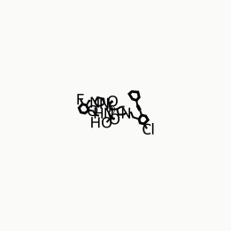 CCOc1cccc(F)c1CN1CCN(C(=O)[C@H](NC(=O)O)C2CCN(CCc3cc(Cl)ccc3C#Cc3ccccc3)CC2)CC1